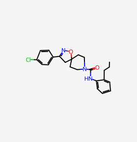 CCCc1ccccc1NC(=O)N1CCC2(CC1)CC(c1ccc(Cl)cc1)=NO2